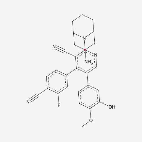 COc1ccc(-c2cnc(N3C4CCCC3CC(N)C4)c(C#N)c2-c2ccc(C#N)c(F)c2)cc1O